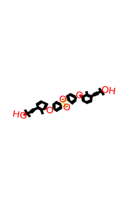 Cc1c(C#CC(C)(C)O)cccc1Oc1ccc(S(=O)(=O)c2ccc(Oc3cccc(C#CC(C)(C)O)c3C)cc2)cc1